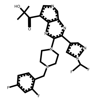 CC(C)(O)C(=O)c1cncc2nc(-c3cnn(C(F)F)c3)c(N3CCN(Cc4ccc(F)cc4F)CC3)nc12